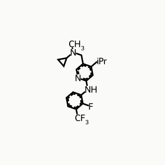 CC(C)c1cc(Nc2cccc(C(F)(F)F)c2F)ncc1CN(C)C1CC1